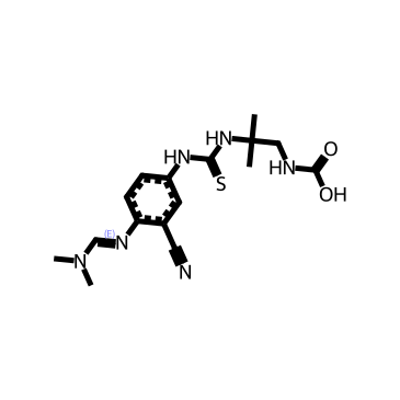 CN(C)/C=N/c1ccc(NC(=S)NC(C)(C)CNC(=O)O)cc1C#N